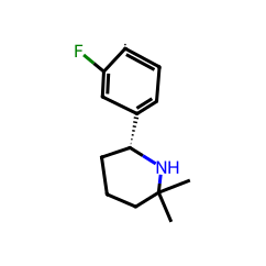 CC1(C)CCC[C@H](c2cc[c]c(F)c2)N1